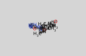 CC1=C2C[C@H]3C(CC[C@@H]4CC(=O)CC[C@@]43C)C2(C)CC[C@@]2(C1)O[C@@H]1C[C@H](C)CN(CCNC(=O)Cc3nnn[nH]3)[C@H]1[C@H]2C